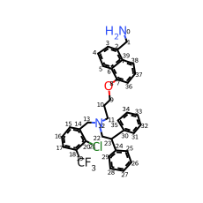 NCc1cccc2c(OCCCN(Cc3cccc(C(F)(F)F)c3Cl)CC(c3ccccc3)c3ccccc3)cccc12